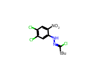 CC(C)(C)C(Cl)=NNc1cc(Cl)c(Cl)cc1[N+](=O)[O-]